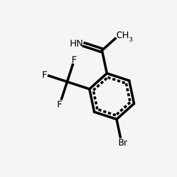 CC(=N)c1ccc(Br)cc1C(F)(F)F